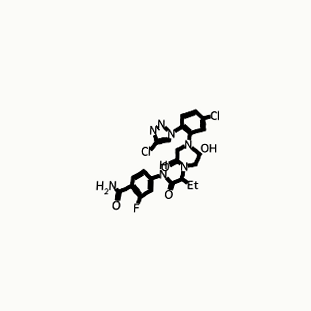 CCC(C(=O)Nc1ccc(C(N)=O)c(F)c1)N1CC(O)N(c2cc(Cl)ccc2-n2cc(Cl)nn2)CC1=O